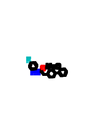 COc1ccccc1C1CCC(CC(=O)Nc2ccc(F)cc2)CC1